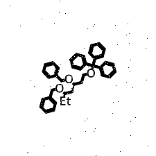 CC[C@H](C[C@H](CCOC(c1ccccc1)(c1ccccc1)c1ccccc1)OCc1ccccc1)OCc1ccccc1